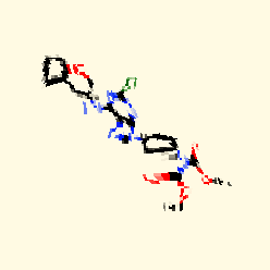 CC(C)(C)OC(=O)N(C(=O)OC(C)(C)C)[C@@H]1C=C[C@H](n2cnc3c(N[C@H](CO)Cc4ccccc4)nc(Cl)nc32)C1